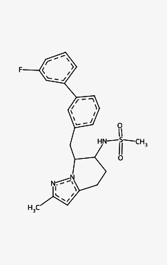 Cc1cc2n(n1)C(Cc1cccc(-c3cccc(F)c3)c1)C(NS(C)(=O)=O)CC2